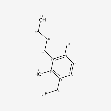 Cc1ccc(CF)c(O)c1CCCO